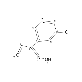 O=[C]/C(=N/O)c1cccc(Cl)c1